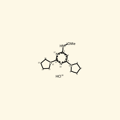 CONc1cc(N2CCCC2)nc(N2CCCC2)n1.Cl